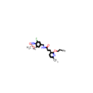 CC(C)CCOc1nc(C(F)(F)F)ccc1C=CC(=O)NCc1cc(F)c(NS(C)(=O)=O)c(C#N)c1